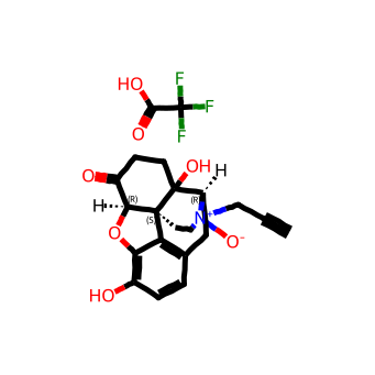 C#CC[N+]1([O-])CC[C@]23c4c5ccc(O)c4O[C@H]2C(=O)CCC3(O)[C@H]1C5.O=C(O)C(F)(F)F